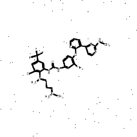 CNc1nccc(-c2cccnc2Oc2ccc(NC(=O)Nc3cc(C(F)(F)F)cc(Cl)c3N(C)CCCN(C)C)cc2C)n1